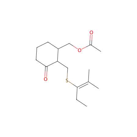 CCC(SCC1C(=O)CCCC1COC(C)=O)=C(C)C